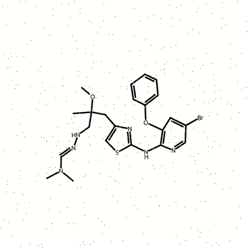 COC(C)(CNN=CN(C)C)Cc1csc(Nc2ncc(Br)cc2Oc2ccccc2)n1